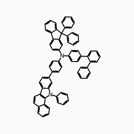 c1ccc(-c2ccccc2-c2ccc(N(c3ccc(-c4ccc5c6ccc7ccccc7c6n(-c6ccccc6)c5c4)cc3)c3ccc4c(c3)C(c3ccccc3)(c3ccccc3)c3ccccc3-4)cc2)cc1